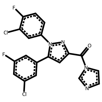 O=C(c1cc(-c2cc(F)cc(Cl)c2)n(-c2ccc(F)c(Cl)c2)n1)n1ccnc1